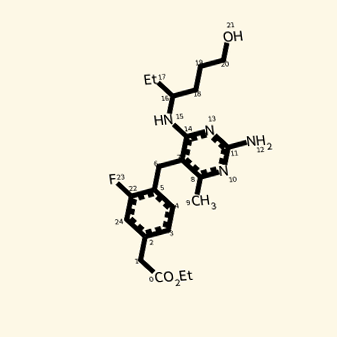 CCOC(=O)Cc1ccc(Cc2c(C)nc(N)nc2NC(CC)CCCO)c(F)c1